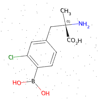 C[C@](N)(Cc1ccc(B(O)O)c(Cl)c1)C(=O)O